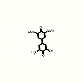 CNC1=CC(=C2C=C(C)C(=O)C(C)=C2)C=C(NC)C1=O